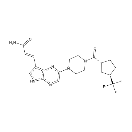 NC(=O)/C=C/c1c[nH]c2ncc(N3CCN(C(=O)[C@@H]4CC[C@@H](C(F)(F)F)C4)CC3)nc12